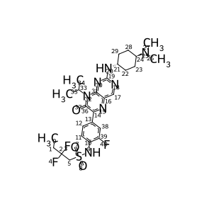 CCC(F)(F)CS(=O)(=O)Nc1ccc(-c2nc3cnc(N[C@H]4CC[C@H](N(C)C)CC4)nc3n(C(C)C)c2=O)cc1F